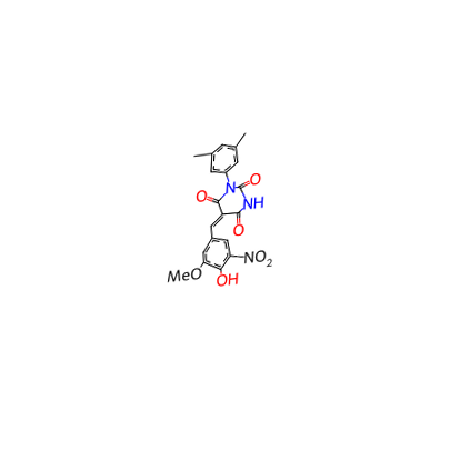 COc1cc(C=C2C(=O)NC(=O)N(c3cc(C)cc(C)c3)C2=O)cc([N+](=O)[O-])c1O